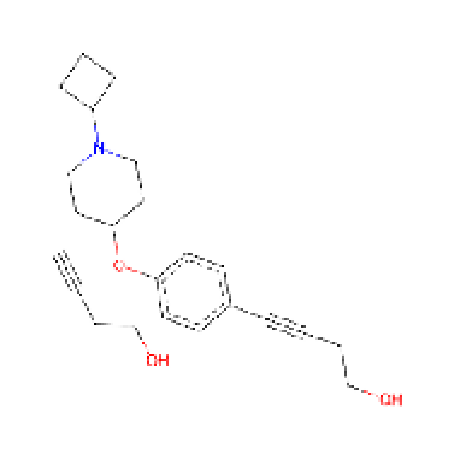 C#CCCO.OCCC#Cc1ccc(OC2CCN(C3CCC3)CC2)cc1